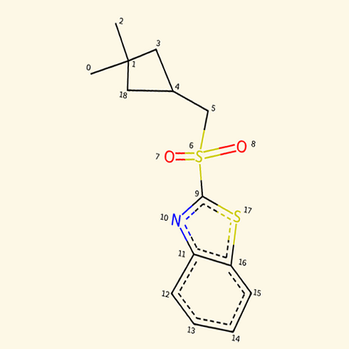 CC1(C)CC(CS(=O)(=O)c2nc3ccccc3s2)C1